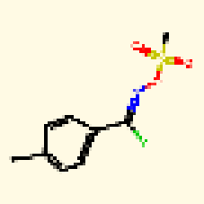 Cc1ccc(/C(Cl)=N/OS(C)(=O)=O)cc1